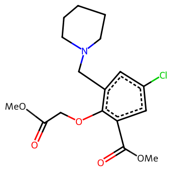 COC(=O)COc1c(CN2CCCCC2)cc(Cl)cc1C(=O)OC